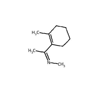 C/N=C(/C)C1=C(C)CCCC1